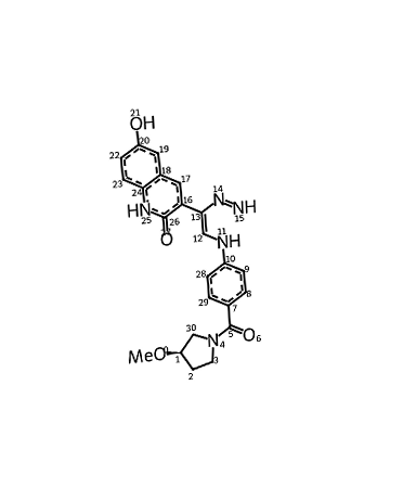 CO[C@@H]1CCN(C(=O)c2ccc(N/C=C(\N=N)c3cc4cc(O)ccc4[nH]c3=O)cc2)C1